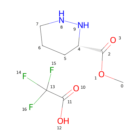 COC(=O)[C@@H]1CCCNN1.O=C(O)C(F)(F)F